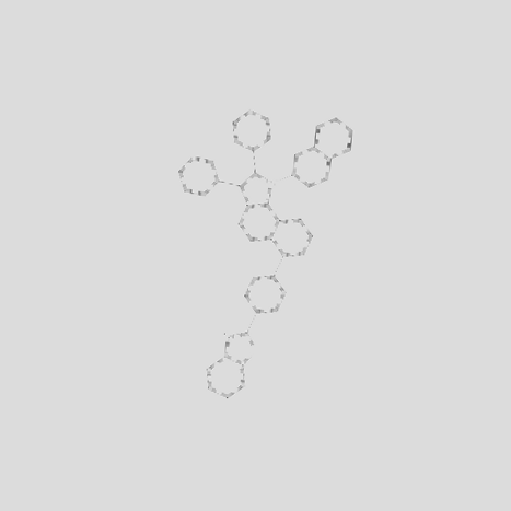 c1ccc(-c2c(-c3ccccc3)n(-c3ccc4ccccc4c3)c3c2ccc2c(-c4ccc(-c5nc6ccccc6o5)cc4)cccc23)cc1